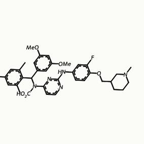 COc1cc(OC)cc(C(c2c(C)cc(C)cc2C)N(C(=O)O)c2ccnc(Nc3ccc(OCC4CCCN(C)C4)c(F)c3)n2)c1